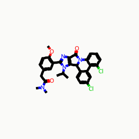 COc1ccc(CC(=O)N(C)C)cc1-c1nc2c(n1C(C)C)C1c3ccc(Cl)cc3-c3c(Cl)cccc3N1C2=O